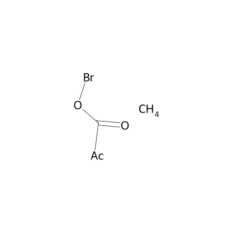 C.CC(=O)C(=O)OBr